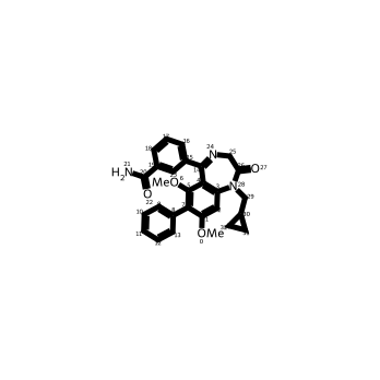 COc1cc2c(c(OC)c1-c1ccccc1)C(c1cccc(C(N)=O)c1)=NCC(=O)N2CC1CC1